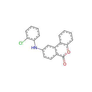 O=c1oc2ccccc2c2cc(Nc3ccccc3Cl)ccc12